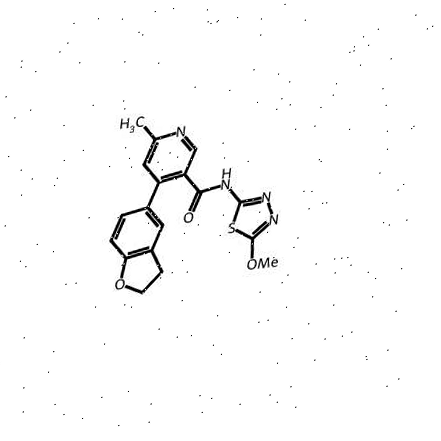 COc1nnc(NC(=O)c2cnc(C)cc2-c2ccc3c(c2)CCO3)s1